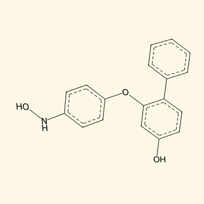 ONc1ccc(Oc2cc(O)ccc2-c2ccccc2)cc1